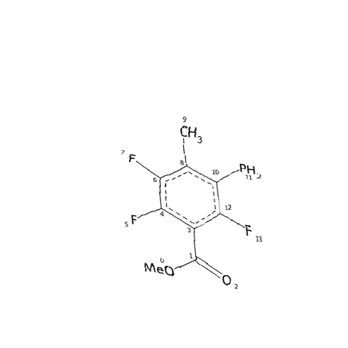 COC(=O)c1c(F)c(F)c(C)c(P)c1F